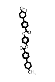 CC1CCC(c2ccc(C(=O)Oc3ccc(OC(=O)c4ccc(C5CCC(C)CC5)cc4)cc3)cc2)CC1